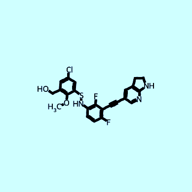 COc1c(CO)cc(Cl)cc1SNc1ccc(F)c(C#Cc2cnc3c(c2)CCN3)c1F